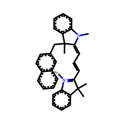 CCC[N+]1=C(/C=C/C=C2/N(C)c3ccccc3C2(C)Cc2ccc3ccccc3c2)C(C)(C)c2ccccc21